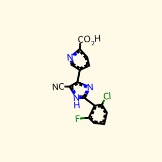 N#Cc1[nH]c(-c2c(F)cccc2Cl)nc1-c1ccc(C(=O)O)nc1